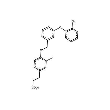 Cc1ccccc1Oc1cccc(COc2ccc(CCC(=O)O)cc2F)c1